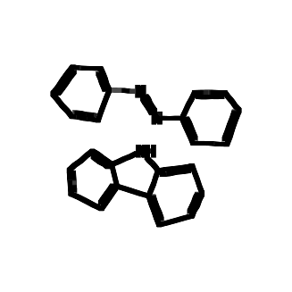 c1ccc(N=Nc2ccccc2)cc1.c1ccc2c(c1)[nH]c1ccccc12